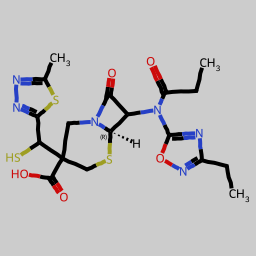 CCC(=O)N(c1nc(CC)no1)C1C(=O)N2CC(C(=O)O)(C(S)c3nnc(C)s3)CS[C@H]12